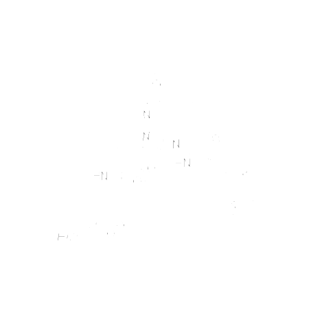 O=CC(CC(=O)O)NC(=O)C1CCCN2C(=O)CCN(NC(=O)c3ccsc3)C(=O)N12